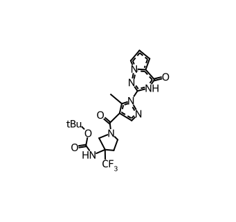 Cc1c(C(=O)N2CCC(NC(=O)OC(C)(C)C)(C(F)(F)F)C2)cnn1-c1nn2cccc2c(=O)[nH]1